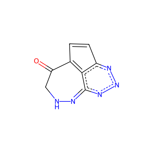 O=C1CNN=c2nnnc3c2=C1C=C3